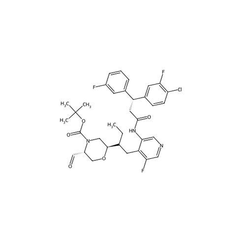 CCC(Cc1c(F)cncc1NC(=O)C[C@H](c1cccc(F)c1)c1ccc(Cl)c(F)c1)[C@@H]1CN(C(=O)OC(C)(C)C)[C@@H](C=O)CO1